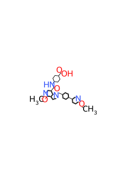 CCOc1ccc(-c2ccc(Cn3ccc4c(OC)ncc(C(=O)NC5CCC(C(=O)O)CC5)c43)cc2)cn1